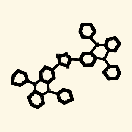 c1ccc(N2c3ccccc3N(c3ccccc3)c3cc(-c4nsc(-c5ccc6c(c5)N(c5ccccc5)c5ccccc5N6c5ccccc5)n4)ccc32)cc1